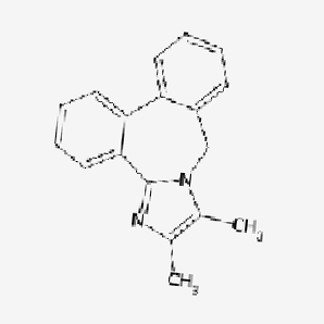 Cc1nc2n(c1C)Cc1ccccc1-c1ccccc1-2